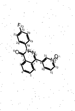 O=c1c2ccccc2c(-c2ccc[n+]([O-])c2)nn1-c1ccc(F)cc1